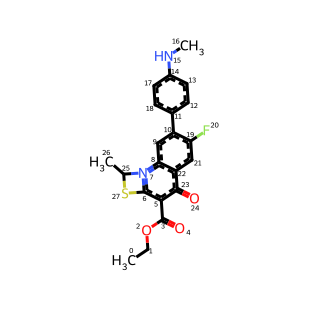 CCOC(=O)c1c2n(c3cc(-c4ccc(NC)cc4)c(F)cc3c1=O)C(C)S2